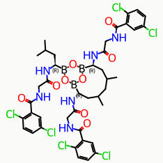 CC(C)C[C@H](NC(=O)CNC(=O)c1cc(Cl)ccc1Cl)B1OB2OB(O1)[C@@H](NC(=O)CNC(=O)c1cc(Cl)ccc1Cl)CC(C)CC(C)C[C@@H]2NC(=O)CNC(=O)c1cc(Cl)ccc1Cl